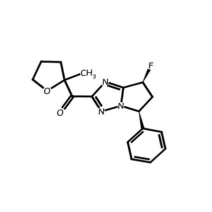 CC1(C(=O)c2nc3n(n2)[C@H](c2ccccc2)C[C@@H]3F)CCCO1